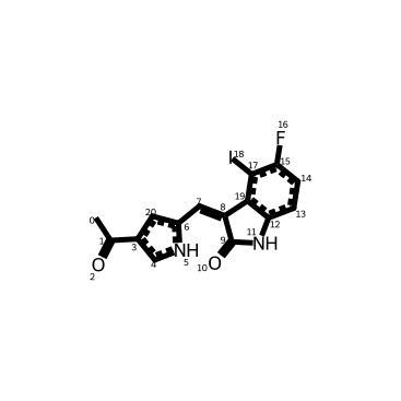 CC(=O)c1c[nH]c(/C=C2\C(=O)Nc3ccc(F)c(I)c32)c1